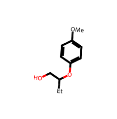 CCC(CO)Oc1ccc(OC)cc1